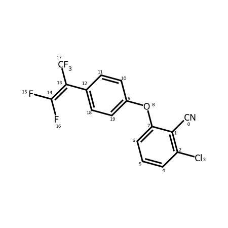 N#Cc1c(Cl)cccc1Oc1ccc(C(=C(F)F)C(F)(F)F)cc1